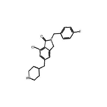 O=C1c2c(Cl)cc(CC3CCNCC3)cc2CN1Cc1ccc(F)cc1